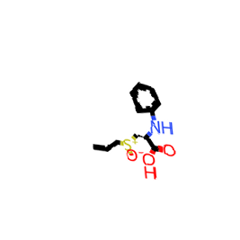 C=CC[S+]([O-])C[C@H](Nc1ccccc1)C(=O)O